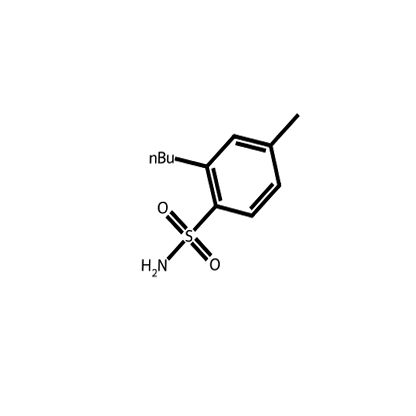 CCCCc1cc(C)ccc1S(N)(=O)=O